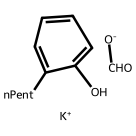 CCCCCc1ccccc1O.O=C[O-].[K+]